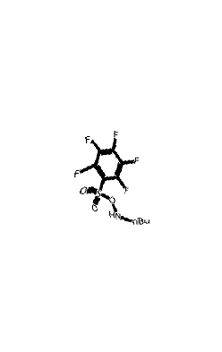 CCCCNOS(=O)(=O)c1c(F)c(F)c(F)c(F)c1F